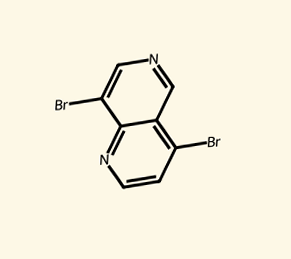 Brc1ccnc2c(Br)cncc12